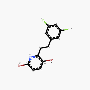 Fc1cc(F)cc(C[CH]c2nc(Br)ccc2Br)c1